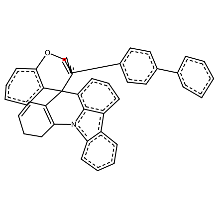 C1=CC2=C(CC1)n1c3ccccc3c3cccc(c31)C21C2=C(CCC(c3ccc(-c4ccccc4)cc3)=C2)Oc2ccccc21